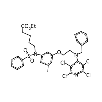 CCOC(=O)CCCCN(c1cc(C)cc(OCCN(Cc2ccccc2)c2c(Cl)c(Cl)nc(Cl)c2Cl)c1)S(=O)(=O)c1ccccc1